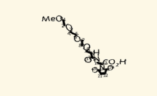 COCCOCCOCCOCCC(=O)NC[C@@H](C(=O)O)N1C(=O)C=CC1=O